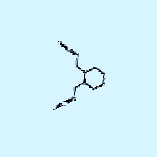 O=C=NC[C]1CCC[CH]C1CN=C=O